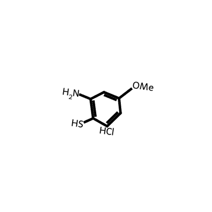 COc1ccc(S)c(N)c1.Cl